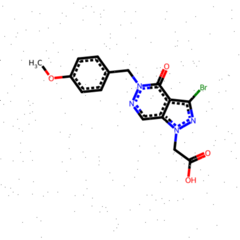 COc1ccc(Cn2ncc3c(c(Br)nn3CC(=O)O)c2=O)cc1